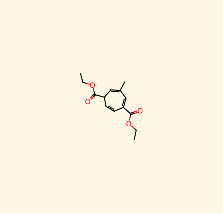 CCOC(=O)C1=CC(C)=CC(C(=O)OCC)C=C1